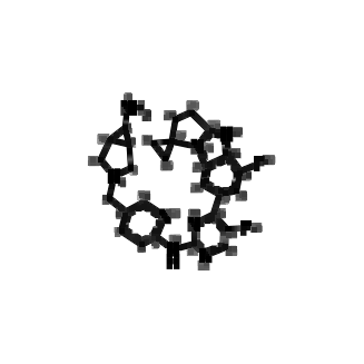 NC1C2CN(Cc3ccc(Nc4ncc(F)c(-c5cc(F)c6nc7n(c6c5)C5(CC7)CC5)n4)nc3)CC12